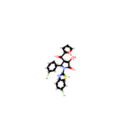 O=C(C1=C(O)C(=O)N(c2nc3ccc(F)cc3s2)C1c1cccc(F)c1)c1ccco1